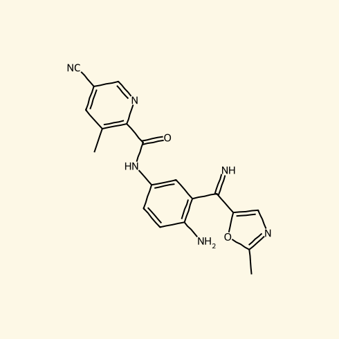 Cc1ncc(C(=N)c2cc(NC(=O)c3ncc(C#N)cc3C)ccc2N)o1